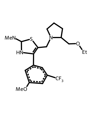 CCOCC1CCCN1CC1=C(c2cc(OC)cc(C(F)(F)F)c2)NC(NC)S1